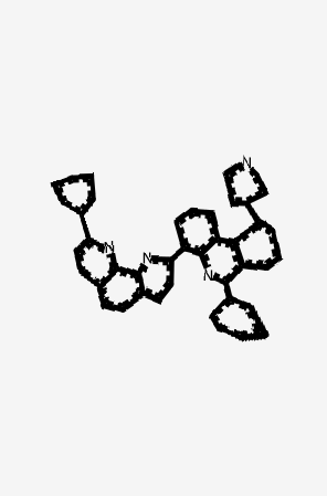 c1ccc(-c2ccc3ccc4ccc(-c5cccc6c5nc(-c5ccccc5)c5cccc(-c7ccncc7)c56)nc4c3n2)cc1